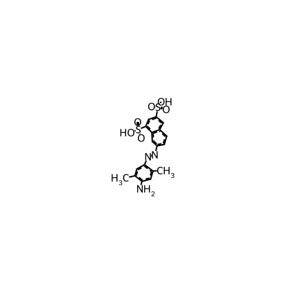 Cc1cc(N=Nc2ccc3cc(S(=O)(=O)O)cc(S(=O)(=O)O)c3c2)c(C)cc1N